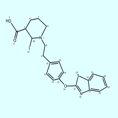 O=C(O)C1CCCN(CCc2ccc(Oc3nc4ccccc4s3)cc2)C1I